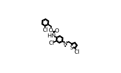 CN(Cc1ccc(Cl)s1)c1ccc(NC(=O)OCc2ccccc2Cl)c(Cl)c1